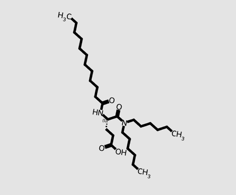 CCCCCCCCCCCC(=O)N[C@@H](CCC(=O)O)C(=O)N(CCCCCC)CCCCCC